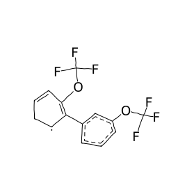 FC(F)(F)OC1=C(c2cccc(OC(F)(F)F)c2)[CH]CC=C1